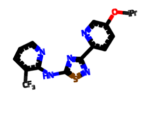 CC(C)Oc1ccc(-c2nsc(Nc3ncccc3C(F)(F)F)n2)nc1